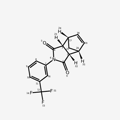 O=C1[C@@H]2[C@H](C(=O)N1c1cccc(C(F)(F)F)c1)[C@@H]1C=C[C@H]2C1